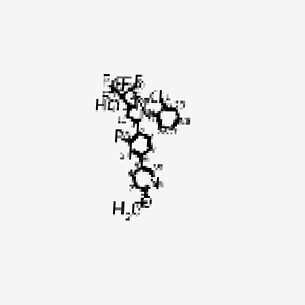 COc1ccc(-c2ccc(C3CC(C(O)(C(F)(F)F)C(F)(F)F)=NN3c3ccccc3Cl)c(F)c2)cn1